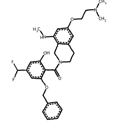 CNc1cc(OCCN(C)C)cc2c1CN(C(=O)c1c(O)cc(C(F)F)cc1OCc1ccccc1)CC2